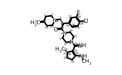 C=C1CCN(C[C@H](C(=O)N2CCN(C(=N)C3=C(NC)CC[C@H]3C)CC2)c2ccc(Cl)c(F)c2)CC1